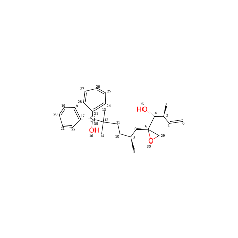 C=C[C@H](C)[C@@H](O)[C@]1(C[C@@H](C)CCC(C)(C)[Si](O)(c2ccccc2)c2ccccc2)CO1